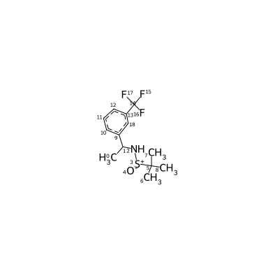 CC(N[S+]([O-])C(C)(C)C)c1cccc(C(F)(F)F)c1